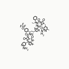 CC[C@@H](NC(=O)N1C(=O)[C@H](Cc2cc(C)nc(N)c2)[C@H]1C(=O)N(C)c1ncc(CCC(NC(=O)N2C(=O)[C@H](Cc3ccnc(N)c3)[C@H]2C(=O)N(C)c2nccn2C)c2ccc(OC(F)(F)F)cc2)n1C)c1ccccc1